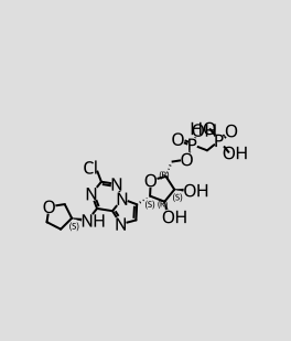 O=P(O)(O)CP(=O)(O)OC[C@H]1O[C@@H](c2cnc3c(N[C@H]4CCOC4)nc(Cl)nn23)[C@H](O)[C@@H]1O